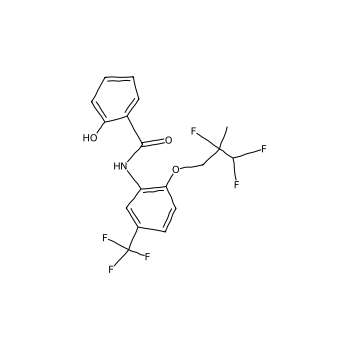 CC(F)(COc1ccc(C(F)(F)F)cc1NC(=O)c1ccccc1O)C(F)F